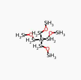 [SiH3]O[SiH2][Al-]([SiH2]O[SiH3])([SiH2]O[SiH3])[SiH2]O[SiH3]